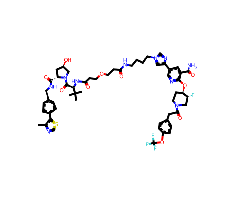 Cc1ncsc1-c1ccc(CNC(=O)[C@@H]2C[C@@H](O)CN2C(=O)C(NC(=O)CCOCCC(=O)NCCCCn2cnc(-c3cnc(O[C@@H]4CCN(C(=O)Cc5ccc(OC(F)(F)F)cc5)C[C@H]4F)c(C(N)=O)c3)c2)C(C)(C)C)cc1